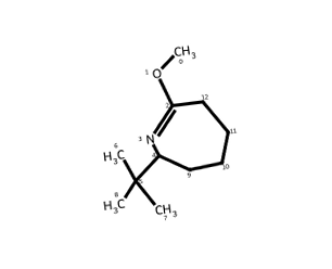 COC1=NC(C(C)(C)C)CCCC1